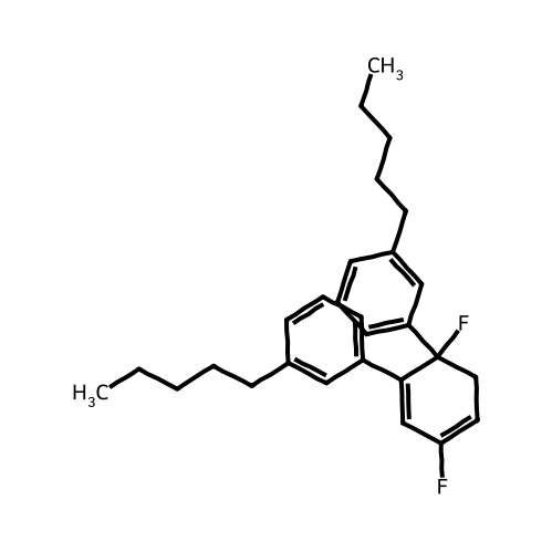 CCCCCc1cccc(C2=CC(F)=CCC2(F)c2cccc(CCCCC)c2)c1